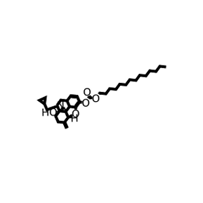 C=C1CC[C@@]2(O)C3CC4C=CC(OC(=O)OCCCCCCCCCCCCCC)=C5O[C@@H]1[C@]2(CCN3CC1CC1)C54